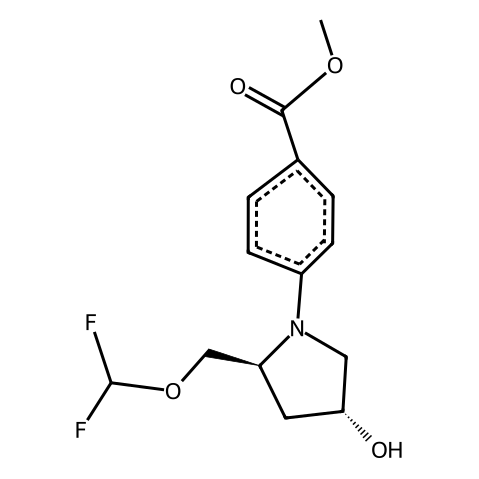 COC(=O)c1ccc(N2C[C@H](O)C[C@H]2COC(F)F)cc1